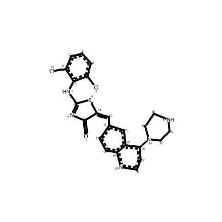 O=C1N=C(Nc2c(Cl)cccc2Cl)S/C1=C/c1ccc2nccc(N3CCNCC3)c2c1